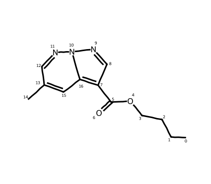 CCCCOC(=O)c1cnn2ncc(C)cc12